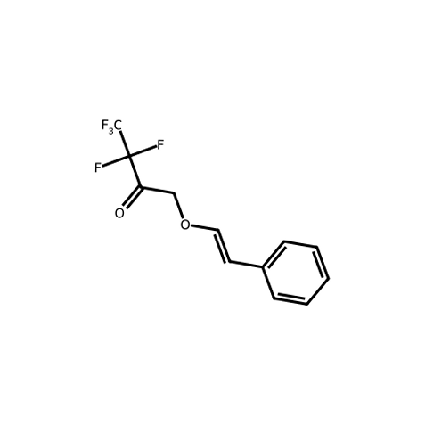 O=C(COC=Cc1ccccc1)C(F)(F)C(F)(F)F